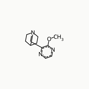 COc1nccnc1C1=CN2CCC1CC2